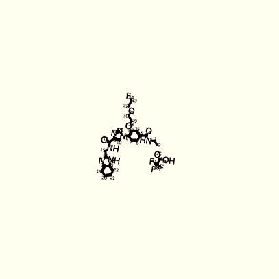 CCNC(=O)c1ccc(-n2cc(C(=O)NCc3nc4ccccc4[nH]3)nn2)c(OCCOCCF)c1.O=C(O)C(F)(F)F